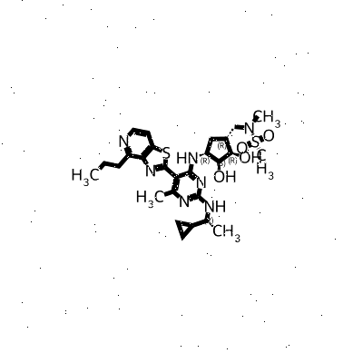 CCCc1nccc2sc(-c3c(C)nc(N[C@H](C)C4CC4)nc3N[C@@H]3C[C@H](CN(C)S(C)(=O)=O)[C@@H](O)[C@H]3O)nc12